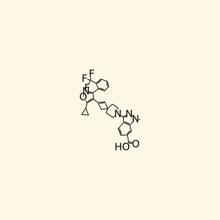 Cn1nc(N2CCC3(C=C(c4c(-c5ccccc5C(F)(F)F)noc4C4CC4)C3)CC2)c2ccc(C(=O)O)cc21